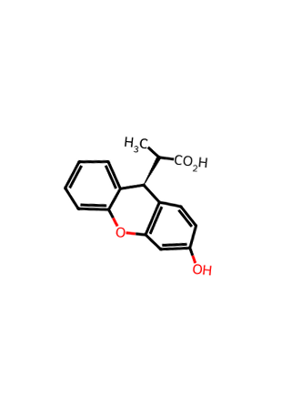 CC(C(=O)O)[C@@H]1c2ccccc2Oc2cc(O)ccc21